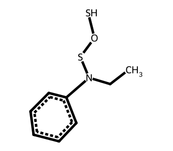 CCN(SOS)c1ccccc1